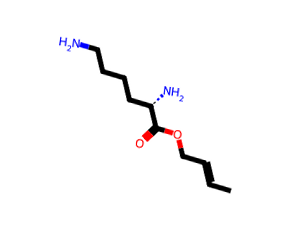 C/C=C/COC(=O)[C@@H](N)CCCCN